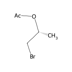 CC(=O)O[C@H](C)CBr